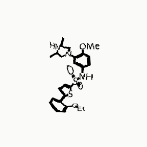 CCOc1ccccc1-c1ccc(S(=O)(=O)Nc2ccc(OC)c(N3CC(C)NC(C)C3)c2)s1